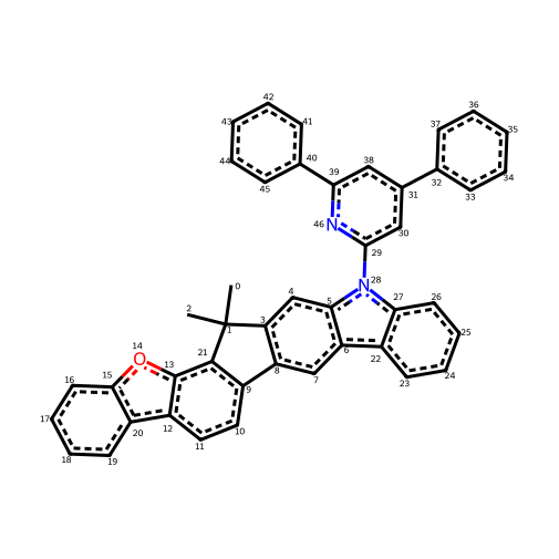 CC1(C)c2cc3c(cc2-c2ccc4c(oc5ccccc54)c21)c1ccccc1n3-c1cc(-c2ccccc2)cc(-c2ccccc2)n1